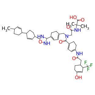 CC1C=CC(C2C=CC(C3NC(C4=CC=C(CN(CC(=O)NC(C)(C)C(=O)O)C(=O)C5=CC=C(NC(=O)CC6CCC(O)=CC6C(F)(F)F)CC5)CC4)NO3)CC2)CC1